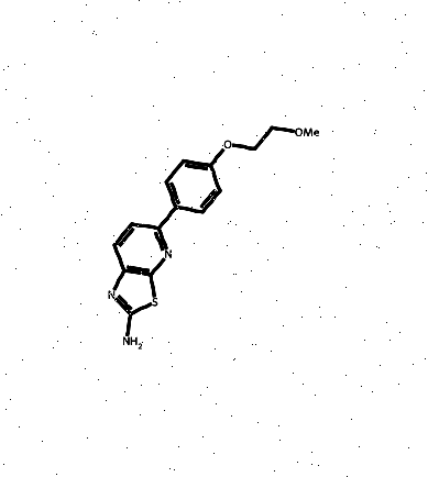 COCCOc1ccc(-c2ccc3nc(N)sc3n2)cc1